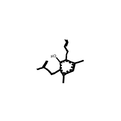 C=CCc1c(C)cc(C)c(CC(=C)C)c1O